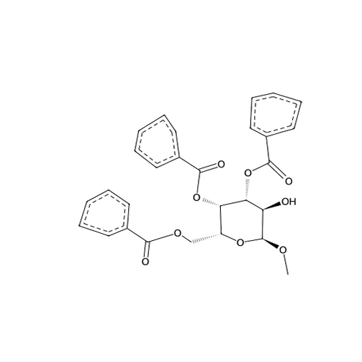 CO[C@H]1O[C@H](COC(=O)c2ccccc2)[C@H](OC(=O)c2ccccc2)[C@H](OC(=O)c2ccccc2)[C@H]1O